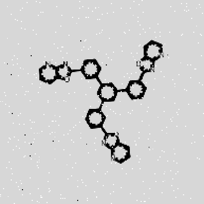 c1cc(-c2cc(-c3cccc(-c4nc5ncccc5o4)c3)cc(-c3cccc(-c4nc5ncccc5o4)c3)c2)cc(-c2nc3ncccc3o2)c1